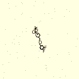 CC(C)(C)OC(=O)N1CCC(CCOCc2ccc(F)c(F)c2)CC1